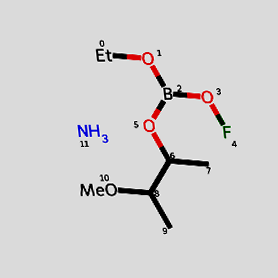 CCOB(OF)OC(C)C(C)OC.N